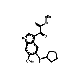 CCCCNC(=O)C(=O)c1c[nH]c2cc(OC)c(NC3CCCC3)cc12